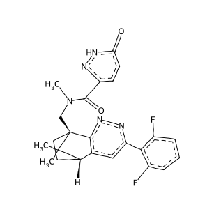 CN(C[C@@]12CC[C@@H](c3cc(-c4c(F)cccc4F)nnc31)C2(C)C)C(=O)c1ccc(=O)[nH]n1